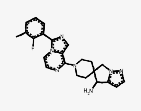 Cc1cccc(-c2ncc3c(N4CCC5(CC4)Cn4nccc4C5N)nccn23)c1F